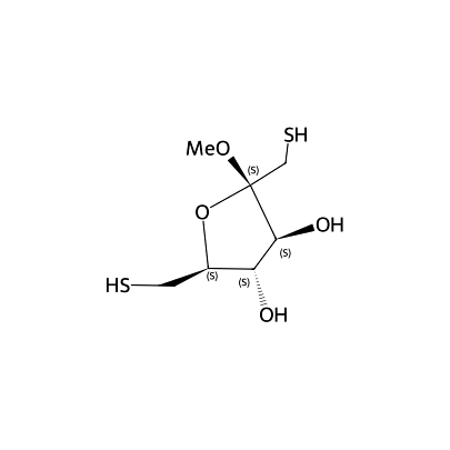 CO[C@]1(CS)O[C@H](CS)[C@@H](O)[C@@H]1O